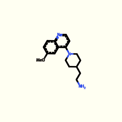 COc1ccc2nccc(N3CCC(CCN)CC3)c2c1